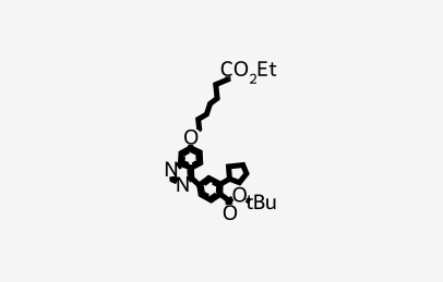 CCOC(=O)CCCCCCCOc1ccc2c(-c3ccc(C(=O)OC(C)(C)C)c(C4CCCC4)c3)ncnc2c1